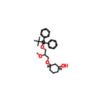 COC(CO[C@@H]1CCC[C@H](O)C1)CO[Si](c1ccccc1)(c1ccccc1)C(C)(C)C